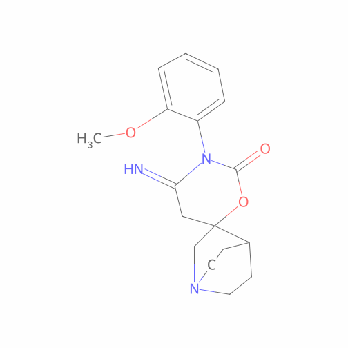 COc1ccccc1N1C(=N)CC2(CN3CCC2CC3)OC1=O